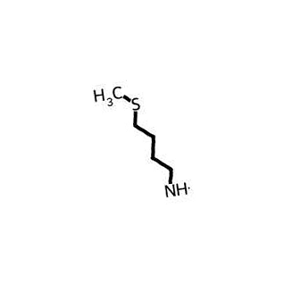 CSCCCC[NH]